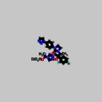 CCOC(=O)OC(C)n1cn[n+](C[C@](O)(c2ccc(F)cc2F)[C@@H](C)N2CCN(c3ccc(-n4ccnn4)cc3)C2=O)c1